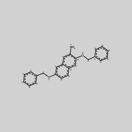 Nc1cc2cc(OCc3ccccc3)ccc2cc1OCc1ccccc1